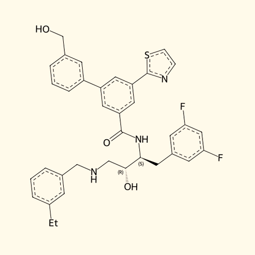 CCc1cccc(CNC[C@@H](O)[C@H](Cc2cc(F)cc(F)c2)NC(=O)c2cc(-c3cccc(CO)c3)cc(-c3nccs3)c2)c1